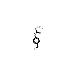 COC(=O)Oc1ccc(C=O)cc1